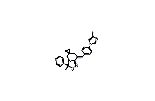 Cc1cn(-c2ccc(/C=C3\CC4(CC4)CN4C3=NOC4(C)c3ccccc3)cc2)cn1